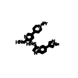 CC(C)N1CC=C(c2cnc(C=N)c(NSc3cnc4ccc(-c5cnn(C)c5)cn34)c2)CC1